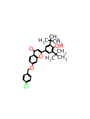 CC(C)(C)c1cc(-c2cc(=O)c3ccc(OCc4ccc(Cl)cc4)cc3o2)cc(C(C)(C)C)c1O